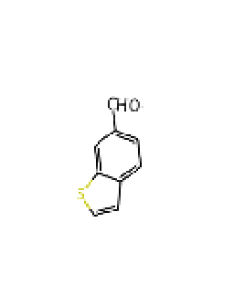 O=[C]c1ccc2ccsc2c1